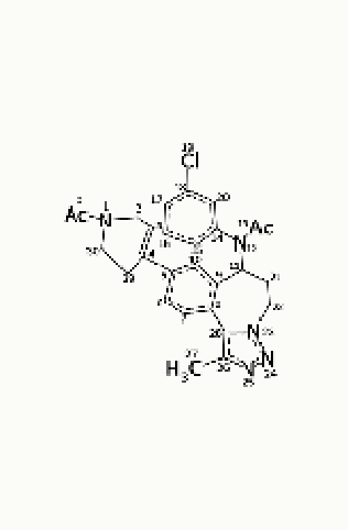 CC(=O)N1CC=C(c2ccc3c(c2)C(N(C(C)=O)c2cccc(Cl)c2)CCn2nnc(C)c2-3)CC1